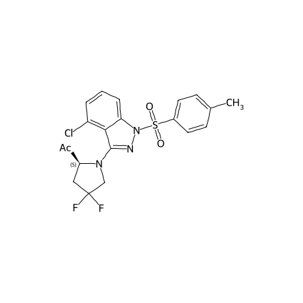 CC(=O)[C@@H]1CC(F)(F)CN1c1nn(S(=O)(=O)c2ccc(C)cc2)c2cccc(Cl)c12